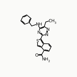 CCc1nnc(-c2scc3c(C(N)=O)cccc23)nc1NCc1ccccc1